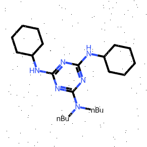 CCCCN(CCCC)c1nc(NC2CCCCC2)nc(NC2CCCCC2)n1